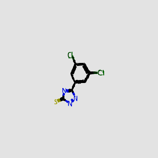 S=C1N=NC(c2cc(Cl)cc(Cl)c2)=N1